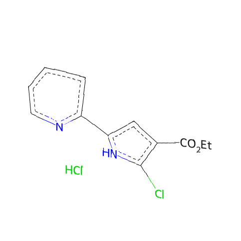 CCOC(=O)c1cc(-c2ccccn2)[nH]c1Cl.Cl